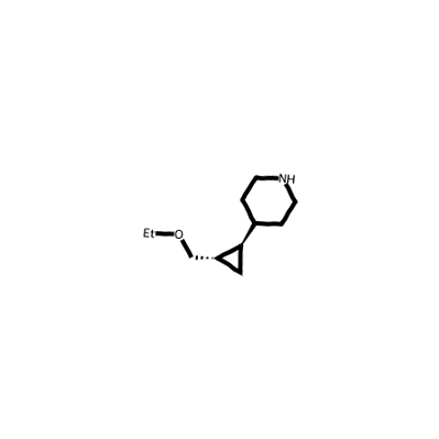 CCOC[C@H]1C[C@@H]1C1CCNCC1